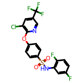 O=S(=O)(Nc1cc(F)ccc1F)c1ccc(Oc2ncc(C(F)(F)F)cc2Cl)cc1